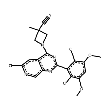 COc1cc(OC)c(Cl)c(-c2nc(N3CC(C)(C#N)C3)c3cc(Cl)ncc3n2)c1Cl